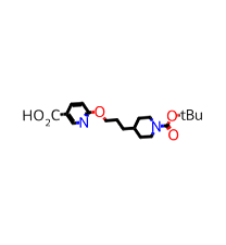 CC(C)(C)OC(=O)N1CCC(CCCOc2ccc(C(=O)O)cn2)CC1